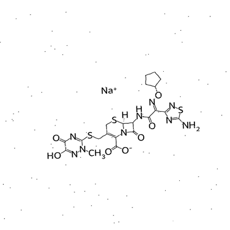 Cn1nc(O)c(=O)nc1SCC1=C(C(=O)[O-])N2C(=O)C(NC(=O)C(=NOC3CCCC3)c3nsc(N)n3)[C@@H]2SC1.[Na+]